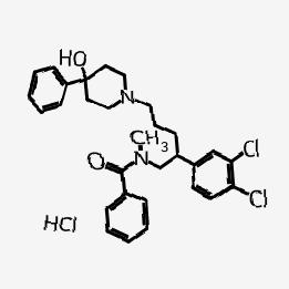 CN(CC(CCCN1CCC(O)(c2ccccc2)CC1)c1ccc(Cl)c(Cl)c1)C(=O)c1ccccc1.Cl